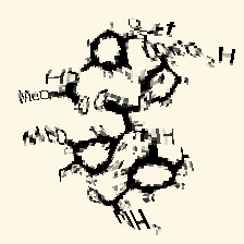 CCS(=O)(=O)c1ccc(NC(=O)OC)cc1[C@@H]1C(OC(=O)O)CCN1C(=O)[C@@H](Nc1cc(C(N)=O)ccc1F)c1ccc(F)c(OC)c1